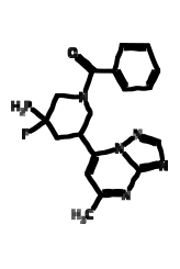 Cc1cc(C2CN(C(=O)c3ccccc3)CC(F)(P)C2)n2ncnc2n1